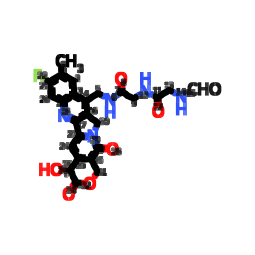 Cc1cc2c(CNC(=O)CNC(=O)CNC=O)c3c(nc2cc1F)-c1cc2c(c(=O)n1C3)COC(=O)[C@H]2O